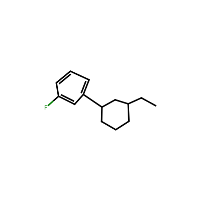 CCC1CCCC(c2cccc(F)c2)C1